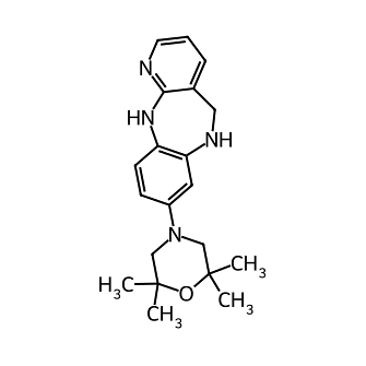 CC1(C)CN(c2ccc3c(c2)NCc2cccnc2N3)CC(C)(C)O1